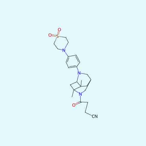 CC12CC3CN(c4ccc(N5CCS(=O)(=O)CC5)cc4)C1CC2(C)N(C(=O)CCC#N)C3